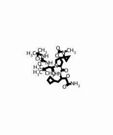 CN1C(=O)OC2(C[C@@H](C(=O)NC(CC3CCC3)C(=O)C(N)=O)N(C(=O)[C@@H](NC(=O)NC(C)(C)C)C(C)(C)C)C2)C12CC2